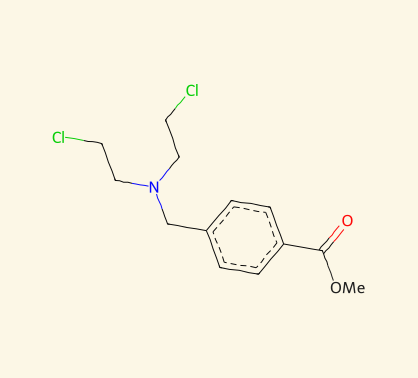 COC(=O)c1ccc(CN(CCCl)CCCl)cc1